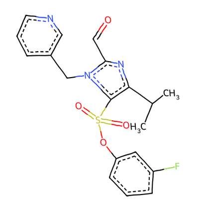 CC(C)c1nc(C=O)n(Cc2cccnc2)c1S(=O)(=O)Oc1cccc(F)c1